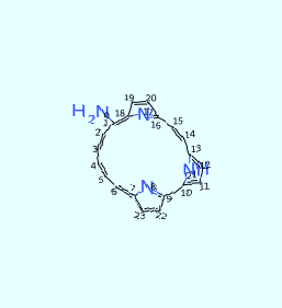 Nc1cccccc2nc(c3ccc(ccc4nc1C=C4)[nH]3)C=C2